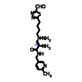 Cc1ccc(CNC(=O)/C(N)=C/N(N)CCCCc2nnc(C=O)s2)cn1